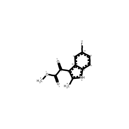 COC(=O)C(=O)c1c(C)[nH]c2ccc(F)cc12